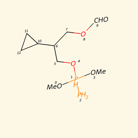 CO[PH](P)(OC)OCC(COC=O)C1CC1